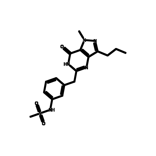 CCCc1nn(C)c2c(=O)[nH]c(Cc3cccc(NS(C)(=O)=O)c3)nc12